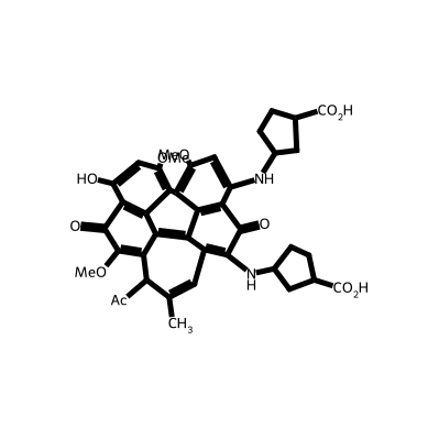 COc1c2c3c4c(c(NC5CCC(C(=O)O)C5)c(=O)c5c(NC6CCC(C(=O)O)C6)cc(OC)c(c6c(OC)cc(O)c(c1=O)c63)c54)C=C(C)C2C(C)=O